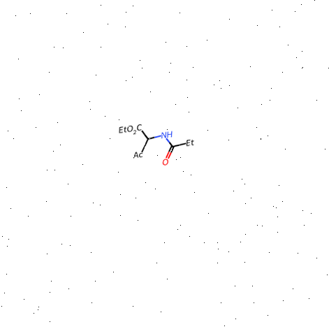 CCOC(=O)C(NC(=O)CC)C(C)=O